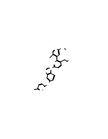 COc1cc(-c2nc(-n3cnc4cc(Nc5ccc(C)nn5)ccc43)ccc2CCO)c(C)cn1